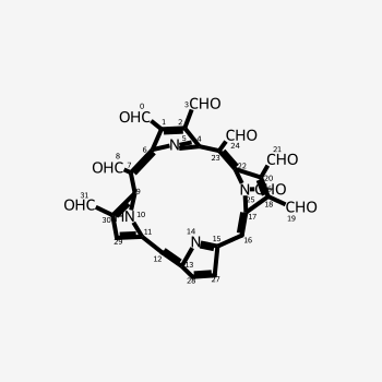 O=CC1=C(C=O)c2nc1c(C=O)c1[nH]c(cc3nc(cc4c(C=O)c(C=O)c(c2C=O)n4C=O)C=C3)cc1C=O